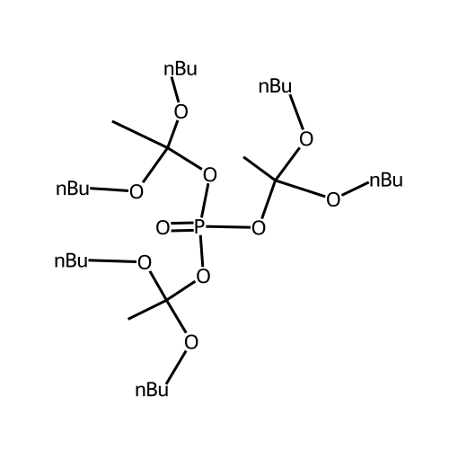 CCCCOC(C)(OCCCC)OP(=O)(OC(C)(OCCCC)OCCCC)OC(C)(OCCCC)OCCCC